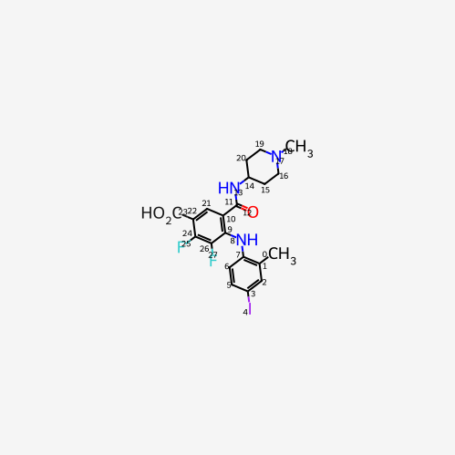 Cc1cc(I)ccc1Nc1c(C(=O)NC2CCN(C)CC2)cc(C(=O)O)c(F)c1F